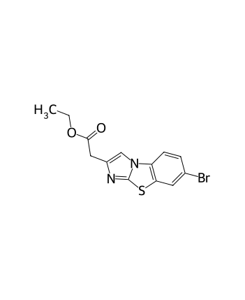 CCOC(=O)Cc1cn2c(n1)sc1cc(Br)ccc12